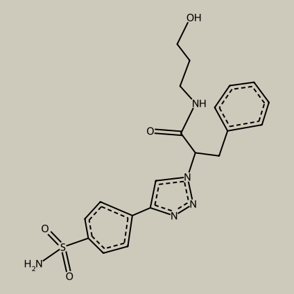 NS(=O)(=O)c1ccc(-c2cn(C(Cc3ccccc3)C(=O)NCCCO)nn2)cc1